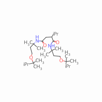 CC(C)C(CC(=O)NC(C)(C)CCOC(C)(C)C(C)C)C(=O)NC(C)(C)CCOC(C)(C)C(C)C